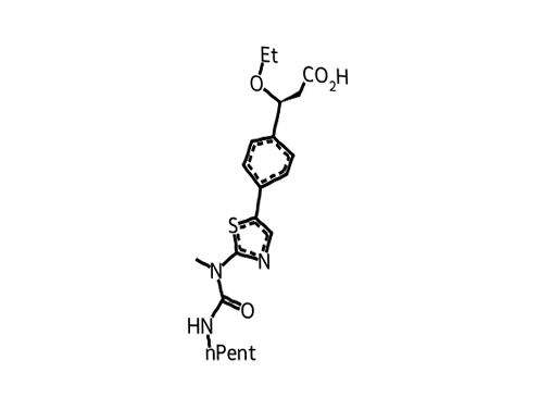 CCCCCNC(=O)N(C)c1ncc(-c2ccc([C@H](CC(=O)O)OCC)cc2)s1